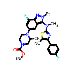 CCn1nc2c(F)cc(N3CCN(C(=O)OC(C)(C)C)CC3C(F)(F)F)cc2c1N(C)c1nc(-c2ccc(F)cc2)c(C#N)s1